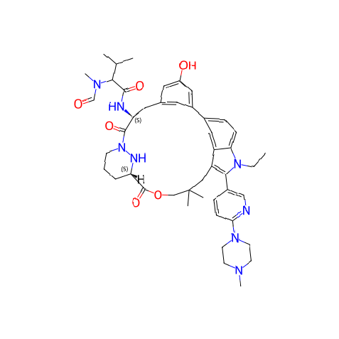 CCn1c(-c2ccc(N3CCN(C)CC3)nc2)c2c3cc(ccc31)-c1cc(O)cc(c1)C[C@H](NC(=O)C(C(C)C)N(C)C=O)C(=O)N1CCC[C@H](N1)C(=O)OCC(C)(C)C2